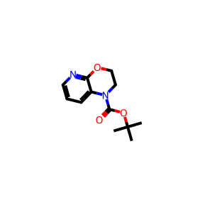 CC(C)(C)OC(=O)N1CCOc2ncccc21